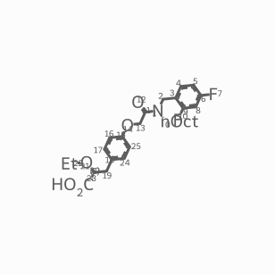 CCCCCCCCN(Cc1ccc(F)cc1F)C(=O)COc1ccc(C[C@H](OCC)C(=O)O)cc1